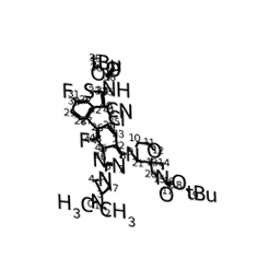 CN(C)C1CN(c2nc(N3CCOC4(CN(C(=O)OC(C)(C)C)C4)C3)c3cc(Cl)c(-c4ccc(F)c5sc(NC(=O)OC(C)(C)C)c(C#N)c45)c(F)c3n2)C1